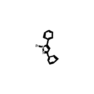 CC(C)n1nc(-c2ccccc2)cc1-c1ccccc1